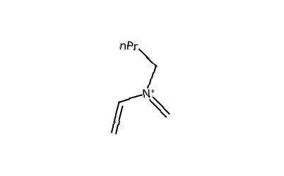 C=C[N+](=C)CCCC